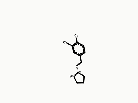 Clc1ccc(CC[C@@H]2CCCN2)cc1Cl